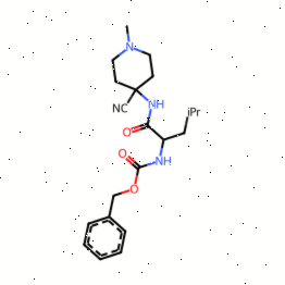 CC(C)CC(NC(=O)OCc1ccccc1)C(=O)NC1(C#N)CCN(C)CC1